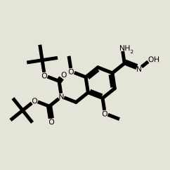 COc1cc(C(N)=NO)cc(OC)c1CN(C(=O)OC(C)(C)C)C(=O)OC(C)(C)C